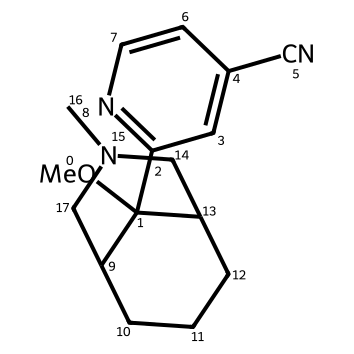 COC1(c2cc(C#N)ccn2)C2CCCC1CN(C)C2